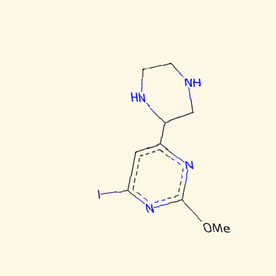 COc1nc(I)cc(C2CNCCN2)n1